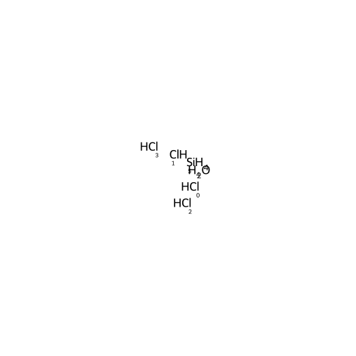 Cl.Cl.Cl.Cl.O.[SiH4]